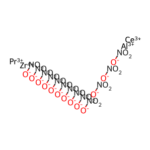 O=[N+]([O-])[O-].O=[N+]([O-])[O-].O=[N+]([O-])[O-].O=[N+]([O-])[O-].O=[N+]([O-])[O-].O=[N+]([O-])[O-].O=[N+]([O-])[O-].O=[N+]([O-])[O-].O=[N+]([O-])[O-].O=[N+]([O-])[O-].O=[N+]([O-])[O-].O=[N+]([O-])[O-].O=[N+]([O-])[O-].[Al+3].[Ce+3].[Pr+3].[Zr+4]